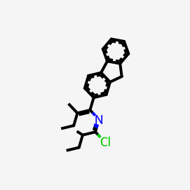 CC/C(C)=C(\N=C(\Cl)C(C)CC)c1ccc2c(c1)Cc1ccccc1-2